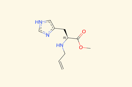 C=CCN[C@@H](Cc1c[nH]cn1)C(=O)OC